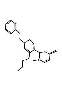 C=C1C=CN(C)C(C2=CCC(CCc3ccccc3)C=C2CCCC)C1